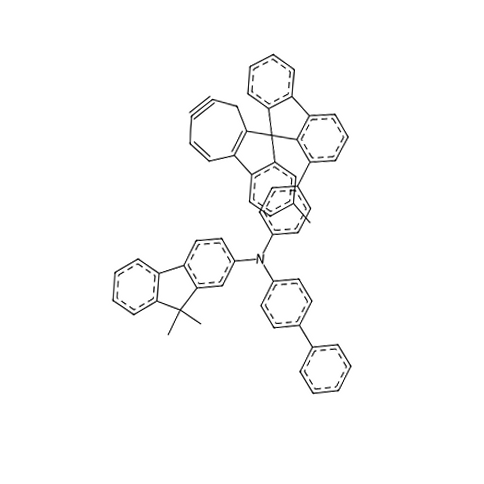 Cc1ccc2c(c1)C1(C3=C2C=CC#CC3)c2ccccc2-c2cccc(-c3ccc(N(c4ccc(-c5ccccc5)cc4)c4ccc5c(c4)C(C)(C)c4ccccc4-5)cc3)c21